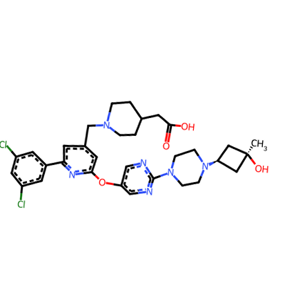 C[C@]1(O)C[C@@H](N2CCN(c3ncc(Oc4cc(CN5CCC(CC(=O)O)CC5)cc(-c5cc(Cl)cc(Cl)c5)n4)cn3)CC2)C1